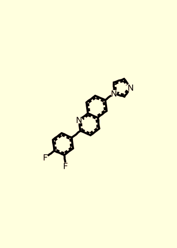 Fc1ccc(-c2ccc3cc(-n4ccnc4)ccc3n2)cc1F